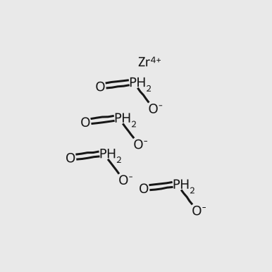 O=[PH2][O-].O=[PH2][O-].O=[PH2][O-].O=[PH2][O-].[Zr+4]